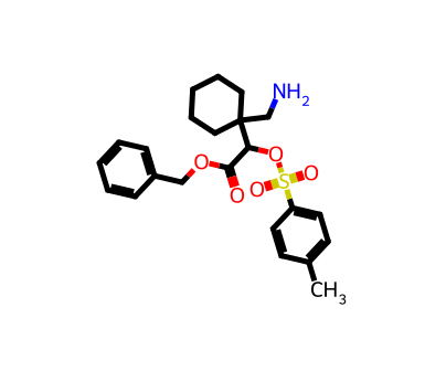 Cc1ccc(S(=O)(=O)OC(C(=O)OCc2ccccc2)C2(CN)CCCCC2)cc1